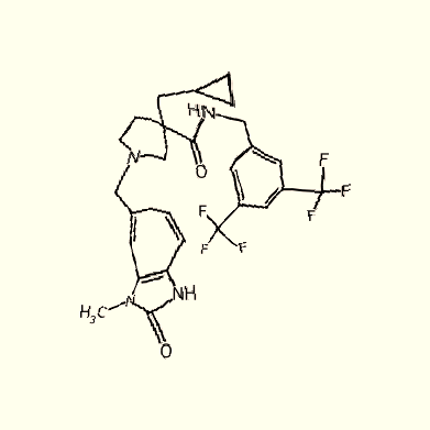 Cn1c(=O)[nH]c2ccc(CN3CCC(CC4CC4)(C(=O)NCc4cc(C(F)(F)F)cc(C(F)(F)F)c4)C3)cc21